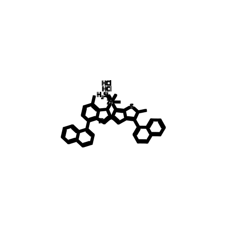 CC1=Cc2c(-c3cccc4ccccc34)ccc(C)c2[CH]1[Zr]([CH3])([CH3])(=[SiH2])[C]1=C2SC(C)C(c3cccc4ccccc34)=C2C=C1C(C)C.Cl.Cl